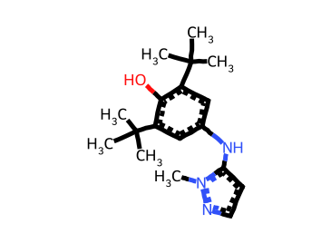 Cn1nccc1Nc1cc(C(C)(C)C)c(O)c(C(C)(C)C)c1